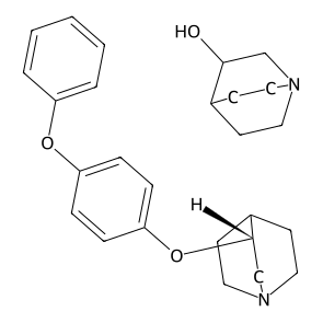 OC1CN2CCC1CC2.c1ccc(Oc2ccc(O[C@H]3CN4CCC3CC4)cc2)cc1